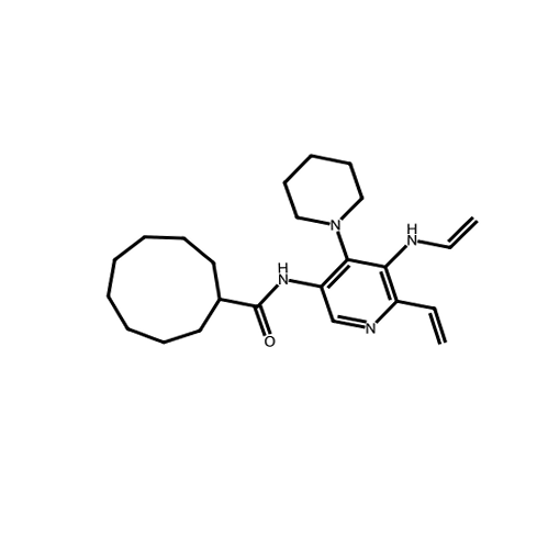 C=CNc1c(C=C)ncc(NC(=O)C2CCCCCCCC2)c1N1CCCCC1